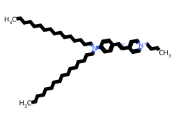 CCCCCCCCCCCCCCCCN(CCCCCCCCCCCCCCCC)c1ccc(/C=C/c2cc[n+](CCCC)cc2)cc1